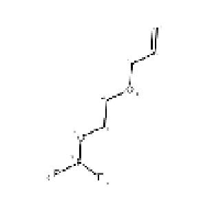 C=CCOCCOP(F)F